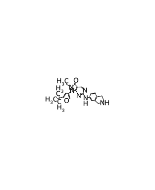 CCn1c(=O)c2cnc(Nc3ccc4c(c3)CNCC4)nc2n1-c1coc(C(C)(C)C)c1